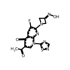 CC(=O)c1cn(-c2ncns2)c2nc(N3CC(=NO)C3)c(F)cc2c1=O